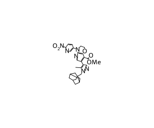 COC(=O)c1c(-c2cnn(CC34CC5CC(CC(C5)C3)C4)c2C)cnc2c1OCCN2c1ccc([N+](=O)[O-])nc1